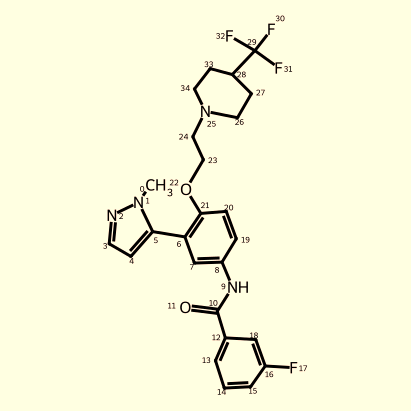 Cn1nccc1-c1cc(NC(=O)c2cccc(F)c2)ccc1OCCN1CCC(C(F)(F)F)CC1